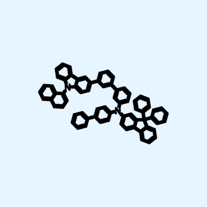 c1ccc(-c2ccc(N(c3cccc(-c4cccc(-c5ccc6c(c5)c5ccccc5n6-c5cccc6ccccc56)c4)c3)c3ccc4c(c3)C(c3ccccc3)(c3ccccc3)c3ccccc3-4)cc2)cc1